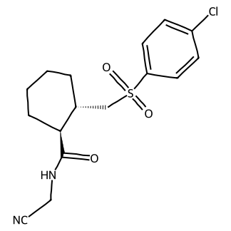 N#CCNC(=O)[C@H]1CCCC[C@@H]1CS(=O)(=O)c1ccc(Cl)cc1